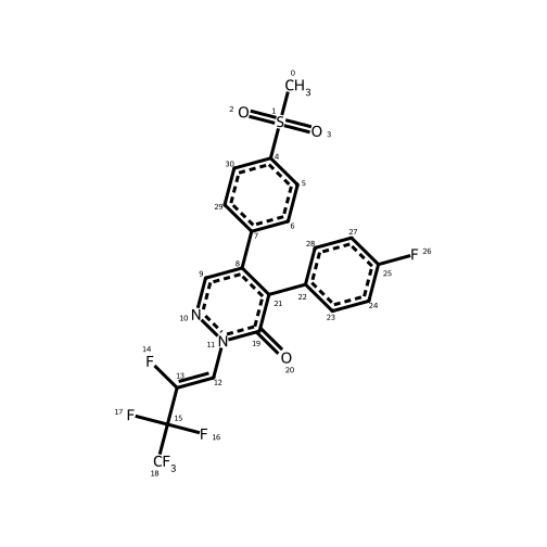 CS(=O)(=O)c1ccc(-c2cnn(C=C(F)C(F)(F)C(F)(F)F)c(=O)c2-c2ccc(F)cc2)cc1